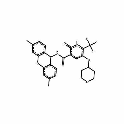 Cc1ccc2c(c1)Oc1cc(C)ccc1C2NC(=O)c1cc(OC2CCOCC2)c(C(F)(F)F)[nH]c1=O